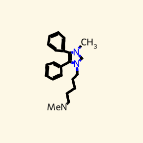 CNCCCCCN1CN(C)C(c2ccccc2)=C1c1ccccc1